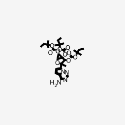 CCC(C)(C)OC(=O)OC1C2OC(C)(c3ccc4c(N)ncnn34)C(OC(=O)OC(C)(C)CC)C12OC(=O)OC(C)(C)CC